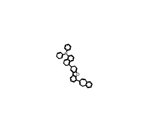 C1=CC(N(c2ccccc2)c2cccc3c2=CCCC=3C2C=c3c(oc4c(C5=CCc6ccccc6C=C5)cccc34)=CC2)=CCC1